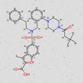 Cc1c(C(=O)O)oc2ccc(S(=O)(=O)N(CCc3ccccc3)Cc3ccccc3N3CCN(C(=O)CC(C)(C)C)CC3)cc12